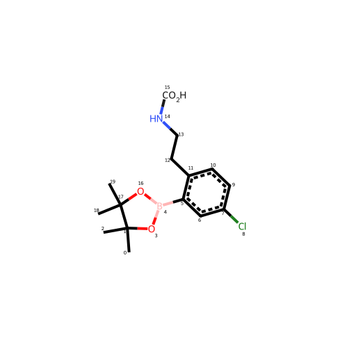 CC1(C)OB(c2cc(Cl)ccc2CCNC(=O)O)OC1(C)C